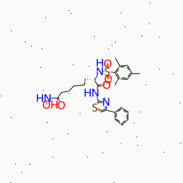 Cc1cc(C)c(S(=O)(=O)N[C@@H](CCCCCC(=O)NO)C(=O)Nc2nc(-c3ccccc3)cs2)c(C)c1